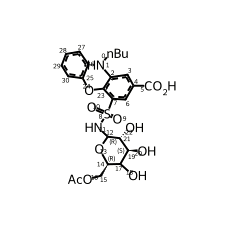 CCCCNc1cc(C(=O)O)cc(S(=O)(=O)NC2O[C@H](COC(C)=O)C(O)[C@H](O)[C@H]2O)c1Oc1ccccc1